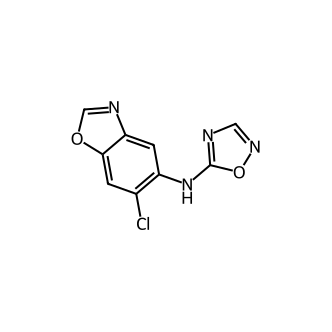 Clc1cc2ocnc2cc1Nc1ncno1